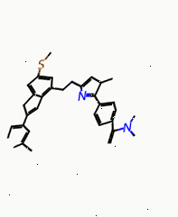 C=C(c1ccc(C2=NC(CCc3cc(SC)cc4c3C=C(/C(C=C(C)C)=C/C)C4)=CC2C)cc1)N(C)C